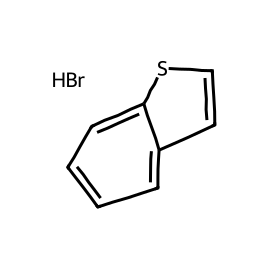 Br.c1ccc2sccc2c1